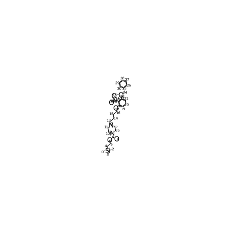 C[Si](C)(C)CCOC(=O)N1CCN(CCCCOc2cccc(OCc3ccccc3)c2[N+](=O)[O-])CC1